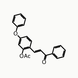 CC(=O)Oc1cc(Oc2ccccc2)ccc1C=CC(=O)c1ccccc1